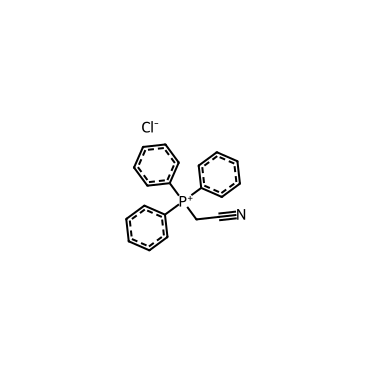 N#CC[P+](c1ccccc1)(c1ccccc1)c1ccccc1.[Cl-]